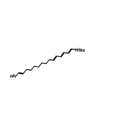 CCC/C=C/CCCCCCC/C=C/C=C/C=C/CCCCCC